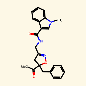 COC(=O)C1(Cc2ccccc2)CC(CNC(=O)c2cn(C)c3ccccc23)=NO1